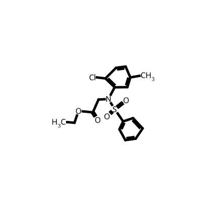 CCOC(=O)CN(c1cc(C)ccc1Cl)S(=O)(=O)c1ccccc1